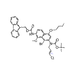 CCCCOc1cc(N(C/C=C/Cl)C(=O)OC(C)(C)C)c(Br)c2c(OC)c(NC(=O)OCC3c4ccccc4-c4ccccc43)ccc12